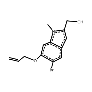 C=CCOc1cc2c(cc1Br)cc(CO)n2C